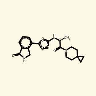 C[C@H](Nc1nnc(-c2cccc3c2CNC3=O)o1)C(=O)N1CCC2(CC1)CC2